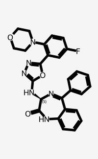 O=C1Nc2ccccc2C(c2ccccc2)=N[C@@H]1Nc1nnc(-c2cc(F)ccc2N2CCOCC2)o1